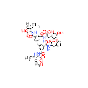 CCC(C)C(NC(=O)c1cc(Cc2cc(C(=O)NC(Cc3ccc(O)cc3)C(=O)O)cc(C(=O)NC(C(=O)O)C(C)CC)c2)cc(C(=O)NC(Cc2ccccc2)C(=O)O)c1)C(=O)O